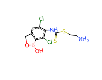 NCCSC(=S)Nc1c(Cl)cc2c(c1Cl)B(O)OC2